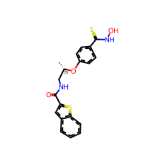 C[C@@H](CNC(=O)c1cc2ccccc2s1)Oc1ccc(C(=S)NO)cc1